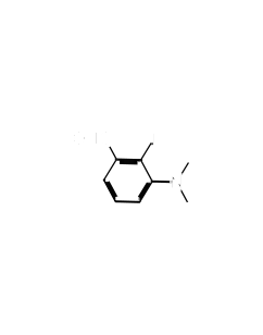 CN(C)c1cccc(C=O)c1I